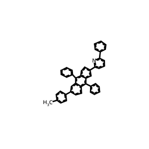 Cc1ccc(-c2ccc3c(-c4ccccc4)c4cc(-c5cccc(-c6ccccc6)n5)ccc4c(-c4ccccc4)c3c2)cc1